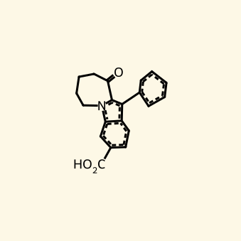 O=C(O)c1ccc2c(-c3ccccc3)c3n(c2c1)CCCCC3=O